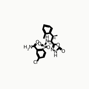 Cc1ccccc1[C@@H](C)[C@H](NS(=O)(=O)c1ccc(Cl)cc1C(N)=O)c1n[nH]c(=O)o1